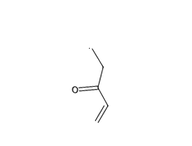 [CH2]CC(=O)C=C